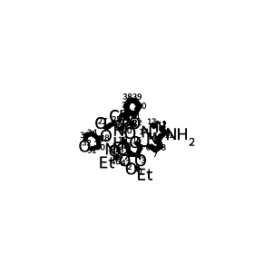 CCC(=O)O[C@H]1[C@H](c2ccc3c(N)ncnn23)O[C@](C#N)(COP(=O)(N[C@@H](C)C(=O)OC2CCOCC2)Oc2ccccc2)[C@H]1OC(=O)CC